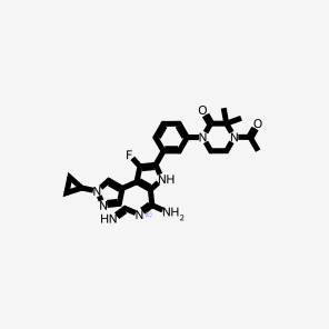 CC(=O)N1CCN(c2cccc(-c3[nH]c(/C(N)=N\C=N)c(-c4cnn(C5CC5)c4)c3F)c2)C(=O)C1(C)C